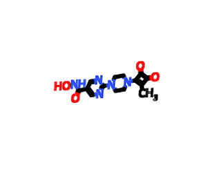 Cc1c(N2CCN(c3ncc(C(=O)NO)cn3)CC2)c(=O)c1=O